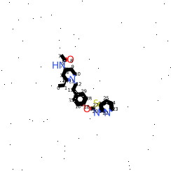 CC[C@H]1C[C@H](NC(C)=O)CCN1CCc1ccc(Oc2nc3ncccc3s2)cc1